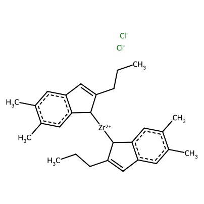 CCCC1=Cc2cc(C)c(C)cc2[CH]1[Zr+2][CH]1C(CCC)=Cc2cc(C)c(C)cc21.[Cl-].[Cl-]